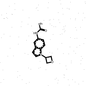 CCCC(=O)Nc1ccc2c(ccn2C2COC2)c1